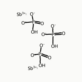 O=P([O-])([O-])O.O=P([O-])([O-])O.O=P([O-])([O-])O.[Sb+3].[Sb+3]